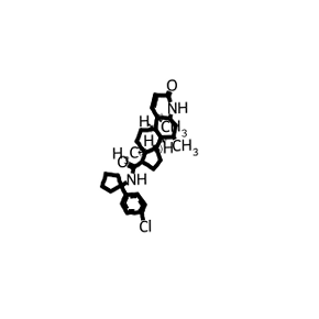 CC1CC2NC(=O)C=C[C@]2(C)[C@@H]2CC[C@]3(C)C(C(=O)NC4(c5ccc(Cl)cc5)CCCC4)CC[C@H]3[C@H]12